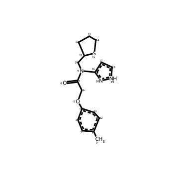 Cc1ccc(OCC(=O)N(CC2CCCS2)c2cc[nH]n2)cc1